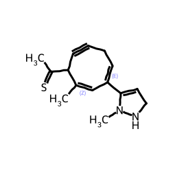 CC(=S)C1C#CC/C=C(C2=CCNN2C)\C=C/1C